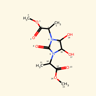 COC(=O)C(C)N1C(=O)N(C(C)C(=O)OC)C(O)C1O